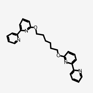 c1ccc(-c2cccc(OCCCCCCOc3cccc(-c4ccccn4)n3)n2)nc1